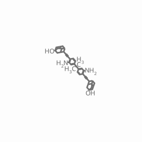 CC(C)(c1ccc(C#CC2C3CC4CC2CC(O)(C4)C3)c(N)c1)c1ccc(C#CC2C3CC4CC2CC(O)(C4)C3)c(N)c1